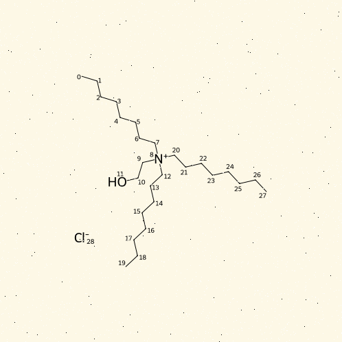 CCCCCCCC[N+](CCO)(CCCCCCCC)CCCCCCCC.[Cl-]